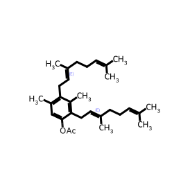 CC(=O)Oc1cc(C)c(C/C=C(\C)CCC=C(C)C)c(C)c1C/C=C(\C)CCC=C(C)C